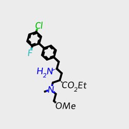 CCOC(=O)[C@@H](C[C@H](N)Cc1ccc(-c2cc(Cl)ccc2F)cc1)CN(C)CCOC